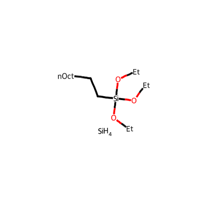 CCCCCCCCCC[Si](OCC)(OCC)OCC.[SiH4]